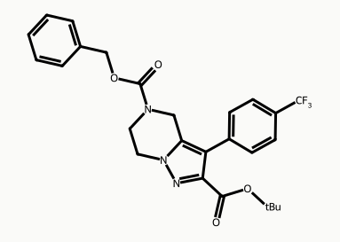 CC(C)(C)OC(=O)c1nn2c(c1-c1ccc(C(F)(F)F)cc1)CN(C(=O)OCc1ccccc1)CC2